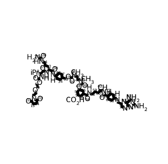 CC(C)[C@H](NC(=O)OCCOCCN1C(=O)C=CC1=O)C(=O)N[C@@H](CCCNC(N)=O)C(=O)Nc1ccc(COC(=O)N(C)CCN(C)C(=O)Oc2ccc(C(=O)O)c(C(=O)NCCC[C@@H](C)NC(=O)c3ccc(NCc4cnc5nc(N)nc(N)c5n4)cc3)c2)cc1